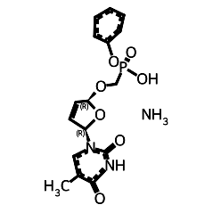 Cc1cn([C@H]2C=C[C@@H](OCP(=O)(O)Oc3ccccc3)O2)c(=O)[nH]c1=O.N